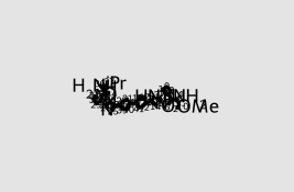 CO[C@H](C)[C@H](N)C(=O)N1CCC[C@H]1c1ncc(-c2ccc(-c3ccc(-c4cnc([C@@H]5CCCN5C(=O)[C@@H](N)C(C)C)[nH]4)cc3)cc2)[nH]1